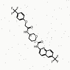 O=C(COc1ccc(C(F)(F)F)cc1)N[C@@H]1CC[C@@H](C(=O)Nc2ccc3cc(C(F)(F)F)ccc3n2)OC1